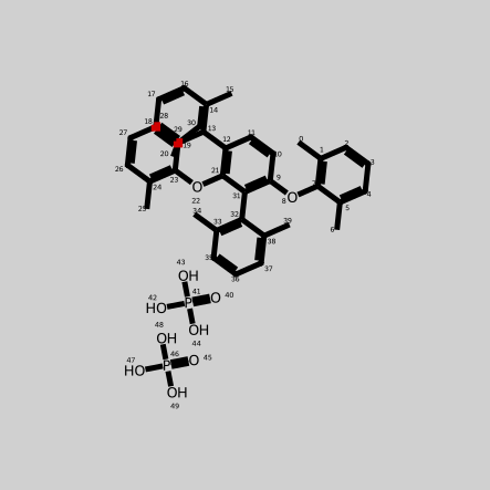 Cc1cccc(C)c1Oc1ccc(-c2c(C)cccc2C)c(Oc2c(C)cccc2C)c1-c1c(C)cccc1C.O=P(O)(O)O.O=P(O)(O)O